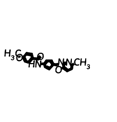 COc1ccc(C(=O)Nc2ccc(-c3nc4c(o3)=CCC(C)N=4)cc2)cc1